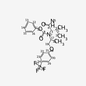 CC(C)[C@@H](C(N)=O)N(C(=O)Oc1ccccc1)C(C)COc1ccc(C(F)(F)F)cc1